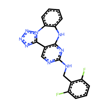 Fc1cccc(F)c1CNc1ncc2c(n1)Nc1ccccc1-n1nnnc1-2